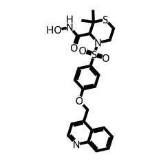 CC1(C)SCCN(S(=O)(=O)c2ccc(OCc3ccnc4ccccc34)cc2)C1C(=O)NO